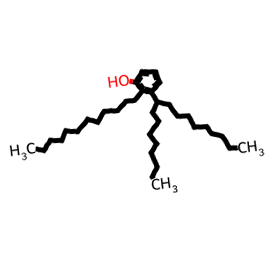 CCCCCCCCCCCCc1c(O)cccc1C(CCCCCCCC)CCCCCCCCC